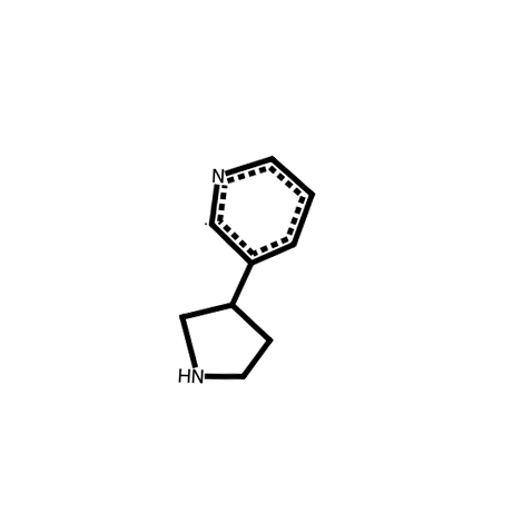 [c]1ncccc1C1CCNC1